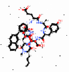 CCCC[C@@H](C(=O)N[C@@H](CC(=O)O)C(=O)N[C@@H](Cc1ccc2ccccc2c1)C(=O)O)N(C)C(=O)[C@H](Cc1c[nH]c2ccccc12)NC(=O)CNC(=O)[C@H](Cc1ccc(O)cc1)NC(=O)[C@H](C)NC(=O)[C@H](N)CCC(=O)O